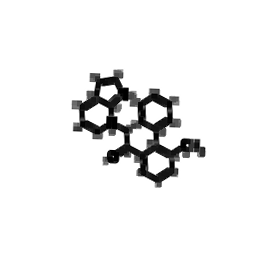 Cc1cccc(C(=O)Cn2cccc3ccnc2-3)c1-c1ccccc1